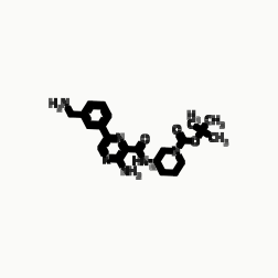 CC(C)(C)OC(=O)N1CCC[C@H](NC(=O)c2nc(-c3cccc(CN)c3)cnc2N)C1